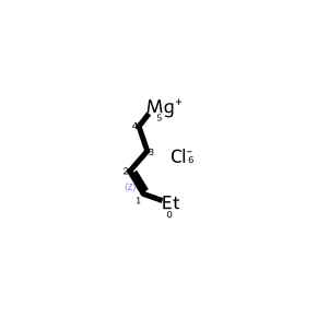 CC/C=C\C[CH2][Mg+].[Cl-]